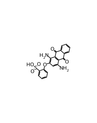 Nc1cc(Oc2ccccc2S(=O)(=O)O)c(N)c2c1C(=O)c1ccccc1C2=O